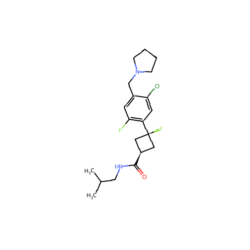 CC(C)CNC(=O)[C@H]1C[C@](F)(c2cc(Cl)c(CN3CCCC3)cc2F)C1